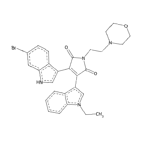 CCn1cc(C2=C(c3c[nH]c4cc(Br)ccc34)C(=O)N(CCN3CCOCC3)C2=O)c2ccccc21